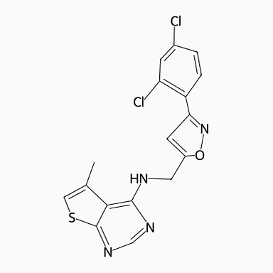 Cc1csc2ncnc(NCc3cc(-c4ccc(Cl)cc4Cl)no3)c12